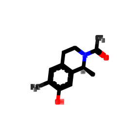 C[C@H]1c2cc(O)c(C(F)(F)F)cc2CCN1C(=O)C(F)(F)F